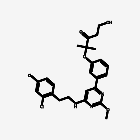 COc1nc(NCCc2ccc(Cl)cc2Cl)cc(-c2cccc(OC(C)(C)C(=O)CCO)c2)n1